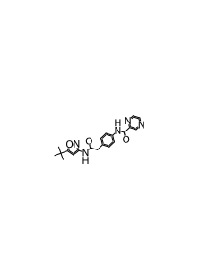 CC(C)(C)c1cc(NC(=O)Cc2ccc(NC(=O)c3cnccn3)cc2)no1